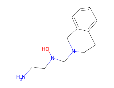 NCCN(O)CN1CCc2ccccc2C1